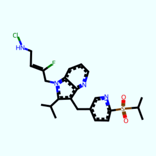 CC(C)c1c(Cc2ccc(S(=O)(=O)C(C)C)nc2)c2ncccc2n1C/C(F)=C/CNCl